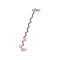 CCCCCCCCCCCCCCCCCCCCCCOCCOO